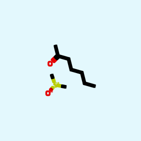 CCCCCC(C)=O.C[S+](C)[O-]